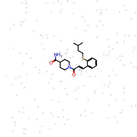 CC(C)CCSc1ccccc1/C=C/C(=O)N1CCC(C(N)=O)CC1